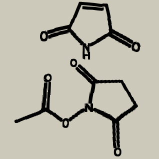 CC(=O)ON1C(=O)CCC1=O.O=C1C=CC(=O)N1